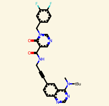 CN(c1ncnc2ccc(C#CCNC(=O)c3cncn(Cc4ccc(F)c(F)c4)c3=O)cc12)C(C)(C)C